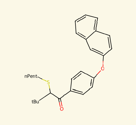 CCCCCSC(C(=O)c1ccc(Oc2ccc3ccccc3c2)cc1)C(C)(C)C